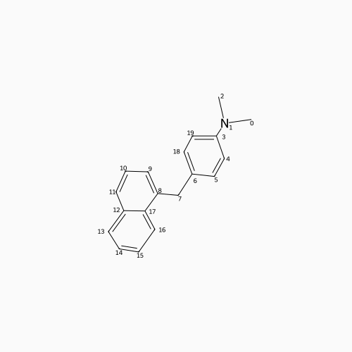 CN(C)c1ccc(Cc2cccc3ccccc23)cc1